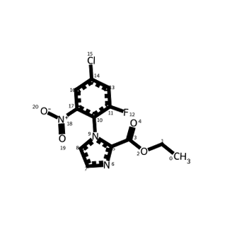 CCOC(=O)c1nccn1-c1c(F)cc(Cl)cc1[N+](=O)[O-]